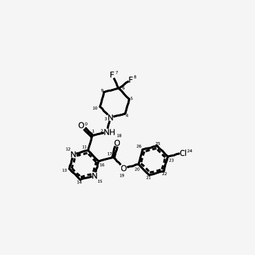 O=C(NN1CCC(F)(F)CC1)c1nccnc1C(=O)Oc1ccc(Cl)cc1